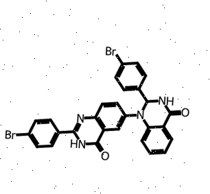 O=C1NC(c2ccc(Br)cc2)N(c2ccc3nc(-c4ccc(Br)cc4)[nH]c(=O)c3c2)c2ccccc21